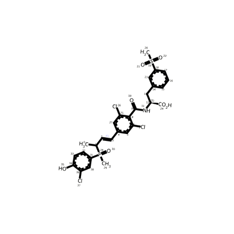 CC(/C=C/c1cc(Cl)c(C(=O)N[C@@H](Cc2cccc(S(C)(=O)=O)c2)C(=O)O)c(Cl)c1)P(C)(=O)c1ccc(O)c(Cl)c1